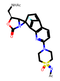 CC(=O)N=S1(=O)CCN(c2ccc3c(n2)C2=C(F)C3=CCC23C2[C@H](CNC(C)=O)OC(=O)N23)CC1